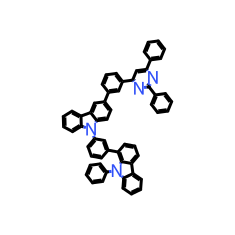 c1ccc(-c2cc(-c3cccc(-c4ccc5c(c4)c4ccccc4n5-c4cccc(-c5cccc6c7ccccc7n(-c7ccccc7)c56)c4)c3)nc(-c3ccccc3)n2)cc1